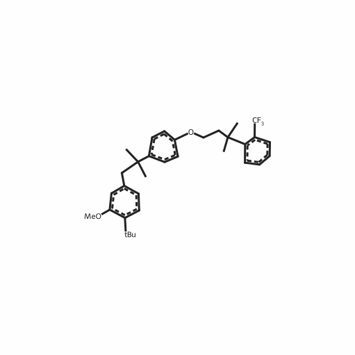 COc1cc(CC(C)(C)c2ccc(OCCC(C)(C)c3ccccc3C(F)(F)F)cc2)ccc1C(C)(C)C